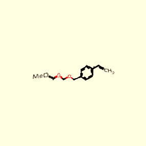 C=Cc1ccc(COCOCOC)cc1